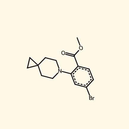 COC(=O)c1ccc(Br)cc1N1CCC2(CC1)CC2